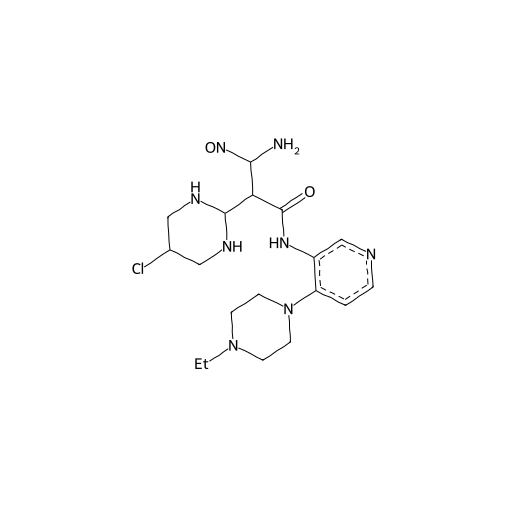 CCN1CCN(c2ccncc2NC(=O)C(C(N)N=O)C2NCC(Cl)CN2)CC1